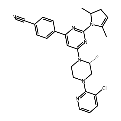 CC1=CCC(C)N1c1nc(-c2ccc(C#N)cc2)cc(N2CCN(c3ncccc3Cl)C[C@H]2C)n1